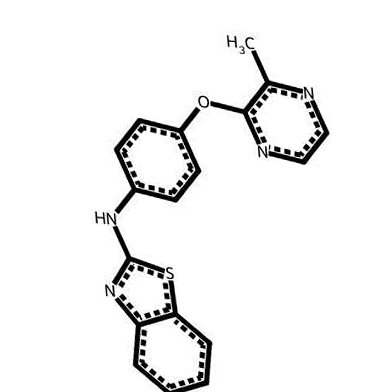 Cc1nccnc1Oc1ccc(Nc2nc3ccccc3s2)cc1